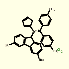 Cc1ccc([C](c2ccc(C)cc2)=[Zr+2]([C]2=CC=CC2)[CH]2c3ccc(C(C)(C)C)cc3-c3cc(C(C)(C)C)ccc32)cc1.[Cl-].[Cl-]